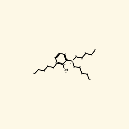 CCCCCc1cccc(N(CCCCC)CCCCC)c1O